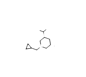 CC(C)[C@H]1C[C@H](O)CN(CC2CC2)C1